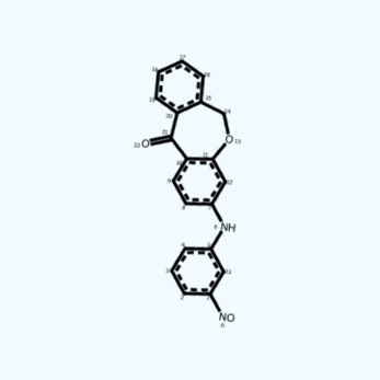 O=Nc1cccc(Nc2ccc3c(c2)OCc2ccccc2C3=O)c1